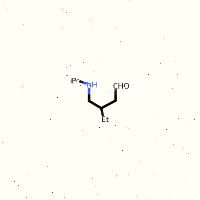 CCC(CC=O)CNC(C)C